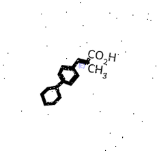 C/C(=C\c1ccc(C2CCCCC2)cc1)C(=O)O